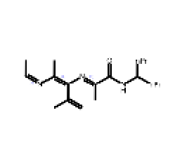 C=C(C)C(/N=C(\C)C(=O)NC(CCC)CCC)=C(C)\N=C/C